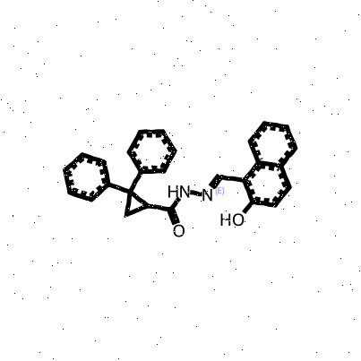 O=C(N/N=C/c1c(O)ccc2ccccc12)C1CC1(c1ccccc1)c1ccccc1